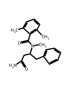 Cc1cccc(C)c1C(=O)N(C)C(CC(N)=O)Cc1ccccc1